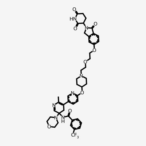 CC1=C(c2ccc(OC3CCN(CCOCCOc4ccc5c(c4)CN(C4CCC(=O)NC4=O)C5=O)CC3)nc2)CC(NC(=O)c2cccc(C(F)(F)F)c2)(N2CCOCC2)C=N1